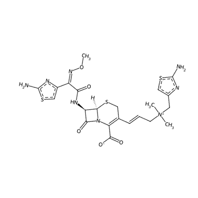 CO/N=C(\C(=O)N[C@@H]1C(=O)N2C(C(=O)[O-])=C(/C=C/C[N+](C)(C)Cc3csc(N)n3)CS[C@H]12)c1csc(N)n1